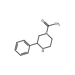 CC(=O)N1CCNC(c2ccccc2)C1